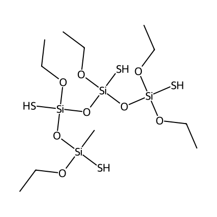 CCO[Si](C)(S)O[Si](S)(OCC)O[Si](S)(OCC)O[Si](S)(OCC)OCC